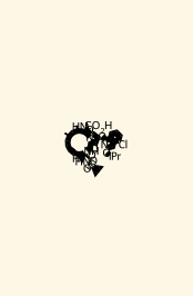 CC(C)Oc1cc2c(Cl)cccc2c(O[C@@H]2C[C@H]3C(=O)N[C@]4(C(=O)NS(=O)(=O)C5CC5)C[C@H]4C=CCC[C@@H](C)C[C@@H](C)[C@H](NC(=O)O)C(=O)N3C2)n1